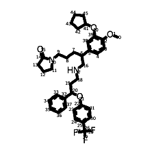 COc1ccc(C(CCCN2CCCC2=O)CNCCC(Oc2ccc(C(F)(F)F)cc2)c2ccccc2)cc1OC1CCCC1